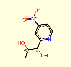 C[C@@H](O)[C@@H](O)c1cc([N+](=O)[O-])ccn1